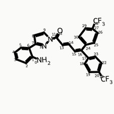 Nc1ccccc1-c1ccn(C(=O)C=CC=C(c2ccc(C(F)(F)F)cc2)c2ccc(C(F)(F)F)cc2)n1